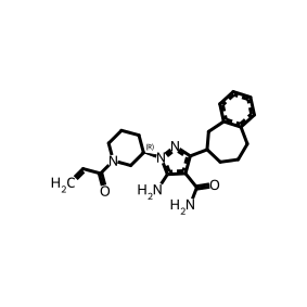 C=CC(=O)N1CCC[C@@H](n2nc(C3CCCc4ccccc4C3)c(C(N)=O)c2N)C1